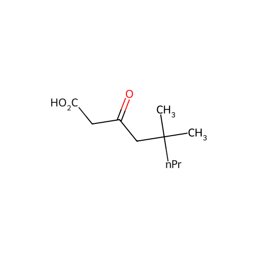 CCCC(C)(C)CC(=O)CC(=O)O